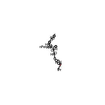 CCCCC[C@H](NC(=O)C[C@H](Cc1ccccc1)NC(=O)CCC(=O)NCCCO[C@H]1CC[C@@]2(C)C(=CC[C@H]3[C@@H]4CC[C@H]([C@H](C)CCCC(C)C)[C@@]4(C)CC[C@@H]32)C1)C(=O)Nc1ccc(COC(=O)Oc2ccc(C)cc2)cc1